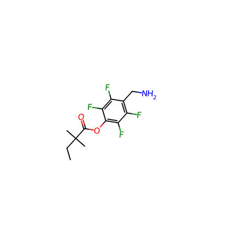 CCC(C)(C)C(=O)Oc1c(F)c(F)c(CN)c(F)c1F